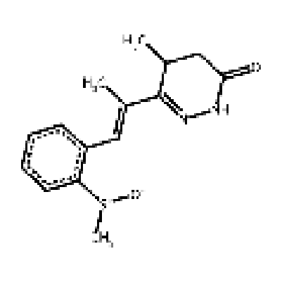 CC(=Cc1ccccc1[S+](C)[O-])C1=NNC(=O)CC1C